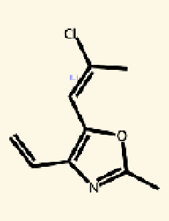 C=Cc1nc(C)oc1/C=C(\C)Cl